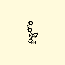 c1ccc(Oc2ccc(-c3nc([C@@H]4CCCNC4)n4ccncc34)cc2)cc1